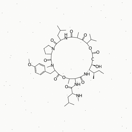 CC[C@@H](C)[C@@H]1NC(=O)C(NC(=O)C(CC(C)C)NC)C(C)OC(=O)C(Cc2ccc(OC)cc2)N(C)C(=O)C2CCCN2C(=O)C(CC(C)C)NC(=O)C(C)C(=O)C(C(C)C)OC(=O)C[C@H]1O